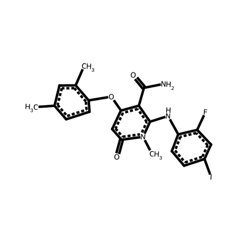 Cc1ccc(Oc2cc(=O)n(C)c(Nc3ccc(I)cc3F)c2C(N)=O)c(C)c1